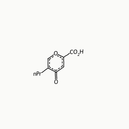 CCCc1coc(C(=O)O)cc1=O